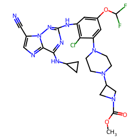 COC(=O)N1CC(N2CCN(c3cc(OC(F)F)cc(Nc4nc(NC5CC5)c5ncc(C#N)n5n4)c3Cl)CC2)C1